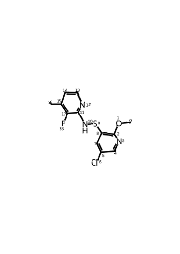 COc1ncc(Cl)cc1SNc1nccc(C)c1F